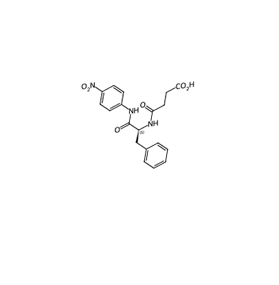 O=C(O)CCC(=O)N[C@@H](Cc1ccccc1)C(=O)Nc1ccc([N+](=O)[O-])cc1